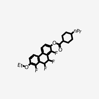 CCCC1CCC(C(=O)Oc2ccc3c(c2F)C(F)C(F)c2c-3ccc(OCC)c2F)CC1